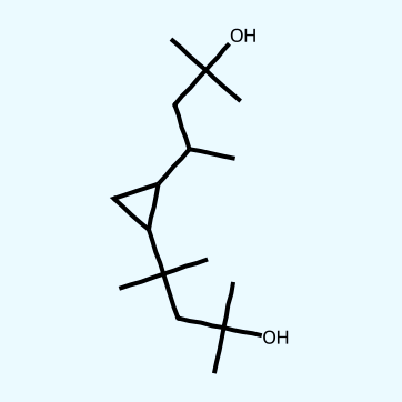 CC(CC(C)(C)O)C1CC1C(C)(C)CC(C)(C)O